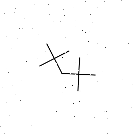 [CH2]C(C)(C)CC(C)(C)C